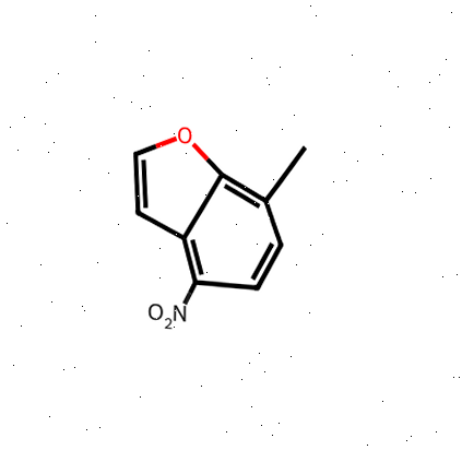 Cc1ccc([N+](=O)[O-])c2ccoc12